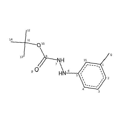 Cc1cccc(NNC(=O)OC(C)(C)C)c1